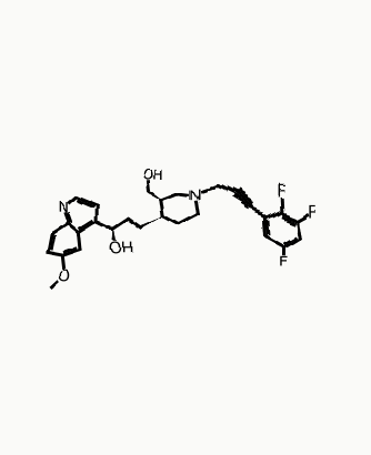 COc1ccc2nccc([C@H](O)CC[C@@H]3CCN(CC#Cc4cc(F)cc(F)c4F)C[C@@H]3CO)c2c1